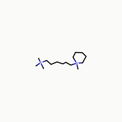 C[N+](C)(C)CCCCCC[N+]1(C)CCCCC1